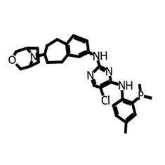 Cc1ccc(Nc2nc(Nc3ccc4c(c3)CCC(N3C5CCC3COC5)CC4)ncc2Cl)c(P(C)C)c1